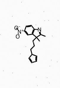 CC1=Nc2ccc([N+](=O)[O-])cc2C1(C)CCCC1C=CC=C1